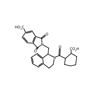 O=C(O)c1ccc2c(c1)C(=O)N(CC1c3ccccc3CCN1C(=O)C1CCCCC1C(=O)O)C2=O